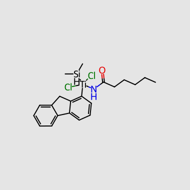 CCCCCC(=O)[NH][Ti]([Cl])([Cl])([c]1cccc2c1Cc1ccccc1-2)[SiH](C)C